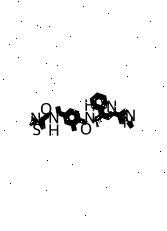 Cc1cc(C(C)NC(=O)c2cscn2)ccc1C(=O)N[C@H](C)c1cc(-c2cnn(C)c2)nc2ccccc12